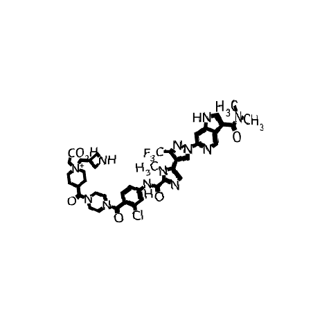 CN(C)C(=O)c1c[nH]c2cc(-n3cc(-c4cnc(C(=O)Nc5ccc(C(=O)N6CCN(C(=O)C7CC[N+](CC(=O)O)(CC8CNC8)CC7)CC6)c(Cl)c5)n4C)c(C(F)(F)F)n3)ncc12